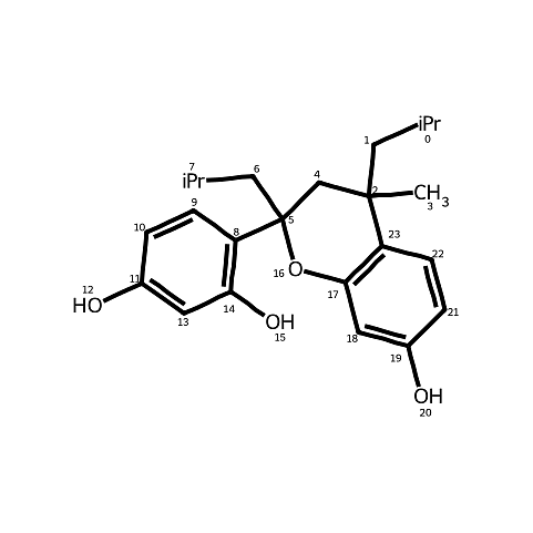 CC(C)CC1(C)CC(CC(C)C)(c2ccc(O)cc2O)Oc2cc(O)ccc21